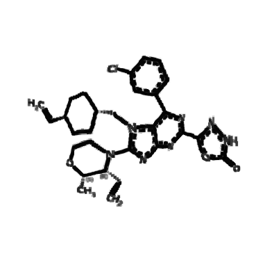 C=C[C@@H]1[C@H](C)OCCN1c1nc2nc(-c3n[nH]c(=O)o3)nc(-c3cccc(Cl)c3)c2n1C[C@H]1CC[C@H](C=C)CC1